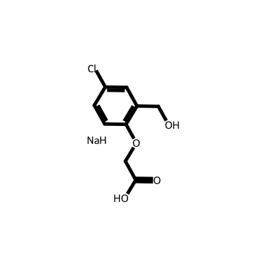 O=C(O)COc1ccc(Cl)cc1CO.[NaH]